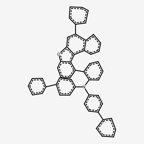 c1ccc(-c2ccc(N(c3ccc(-c4ccccc4)cc3)c3ccccc3-c3cccc4oc5cc(-c6ccccc6)c6ccccc6c5c34)cc2)cc1